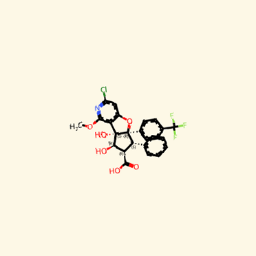 COc1nc(Cl)cc2c1[C@]1(O)[C@H](O)[C@H](C(=O)O)[C@@H](c3ccccc3)[C@]1(c1ccc(C(F)(F)F)cc1)O2